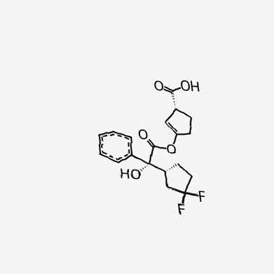 O=C(O)[C@H]1C=C(OC(=O)[C@](O)(c2ccccc2)[C@@H]2CCC(F)(F)C2)CC1